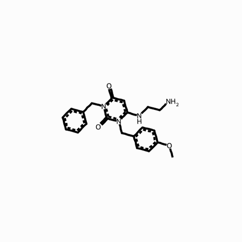 COc1ccc(Cn2c(NCCN)cc(=O)n(Cc3ccccc3)c2=O)cc1